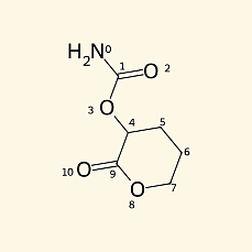 NC(=O)OC1CCCOC1=O